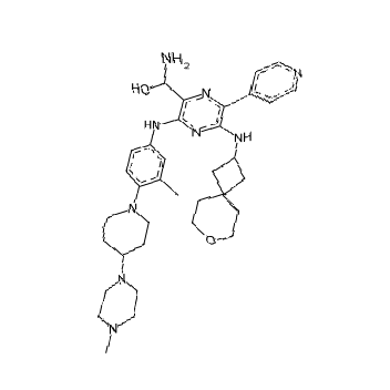 Cc1cc(Nc2nc(NC3CC4(CCOCC4)C3)c(-c3ccncc3)nc2C(N)O)ccc1N1CCC(N2CCN(C)CC2)CC1